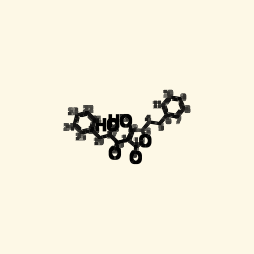 O=C1OC(CCc2ccccc2)C(O)=C1C(=O)C(O)Cc1ccccc1